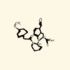 COc1ccc(CC(=O)N2CCCC[C@@H]2N2c3cccc(C=O)c3C[C@H]2C(=O)O)cc1